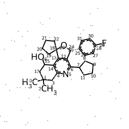 CC1(C)Cc2nc(C3CCCC3)c3c(c2C(O)C1)C1(CCCC1)O[C@@H]3c1ccc(F)cc1